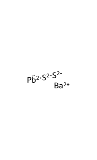 [Ba+2].[Pb+2].[S-2].[S-2]